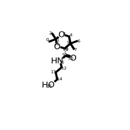 CC1(C)OCC(C)(C)[C@H](C(=O)NCCCO)O1